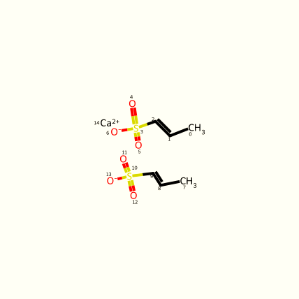 CC=CS(=O)(=O)[O-].CC=CS(=O)(=O)[O-].[Ca+2]